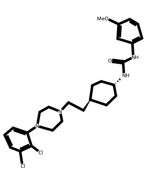 COc1cccc(NC(=O)N[C@H]2CC[C@H](CCN3CCN(c4cccc(Cl)c4Cl)CC3)CC2)c1